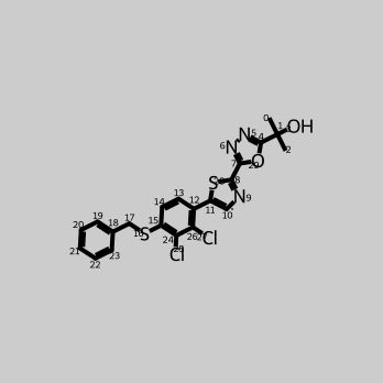 CC(C)(O)c1nnc(-c2n[c]c(-c3ccc(SCc4ccccc4)c(Cl)c3Cl)s2)o1